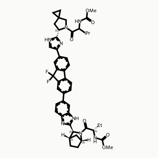 CC[C@H](NC(=O)OC)C(=O)N1[C@@H]2CC[C@@H](C2)[C@H]1c1nc2ccc(-c3ccc4c(c3)C(F)(F)c3cc(-c5c[nH]c([C@@H]6CC7(CC7)CN6C(=O)C(NC(=O)OC)C(C)C)n5)ccc3-4)cc2[nH]1